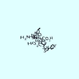 C=CO/N=C(\C(=O)NC(C(=O)O)C1NC(C(=O)O)=C(Sc2nc(-c3cc[n+](C)cc3)cs2)CS1)c1nsc(N)n1